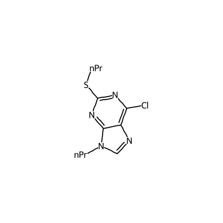 CCCSc1nc(Cl)c2ncn(CCC)c2n1